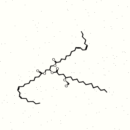 CCCCC/C=C\C/C=C\CCCCCCCC(=O)OCC(COC(=O)CCCCCCC/C=C\C/C=C\CCCCC)OC(=O)CCC(CCCCCCCCCCCC)OC=O